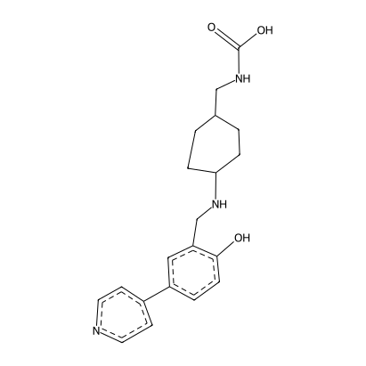 O=C(O)NCC1CCC(NCc2cc(-c3ccncc3)ccc2O)CC1